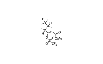 COC(=O)C1=C(OS(=O)(=O)C(F)(F)F)[C@@H]2CCC(F)(F)[C@@H]2C1